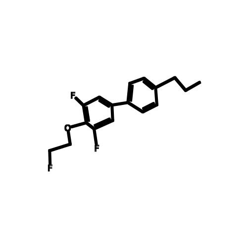 CCCc1ccc(-c2cc(F)c(OCCF)c(F)c2)cc1